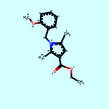 CCOC(=O)c1cc(C)n(Cc2ccccc2OC)c1C